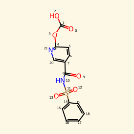 O=C(O)Oc1ccc(C(=O)NS(=O)(=O)c2ccccc2)cn1